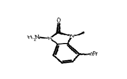 CCCc1cccc2c1n(C)c(=O)n2N